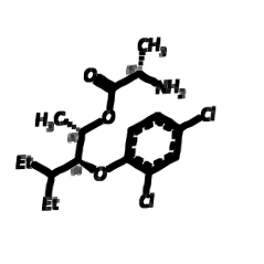 CCC(CC)[C@H](Oc1ccc(Cl)cc1Cl)[C@H](C)OC(=O)[C@H](C)N